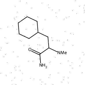 CNC(CC1CCCCC1)C(N)=O